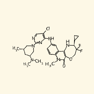 C[C@@H]1CC(N(C)C)CN(c2ncc(Cl)c(Nc3ccc4c(c3)c3c(c(=O)n4C)OCC(F)(F)[C@H](C4CC4)N3)n2)C1